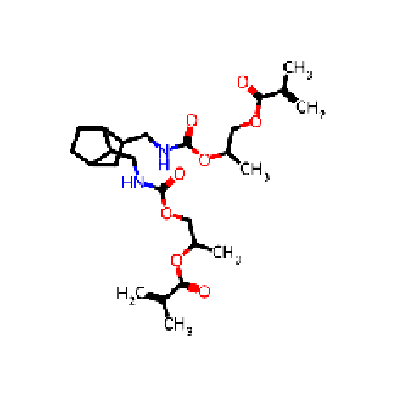 C=C(C)C(=O)OCC(C)OC(=O)NCC1CC2CCC1C2CNC(=O)OCC(C)OC(=O)C(=C)C